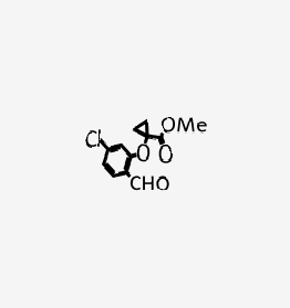 COC(=O)C1(Oc2cc(Cl)ccc2C=O)CC1